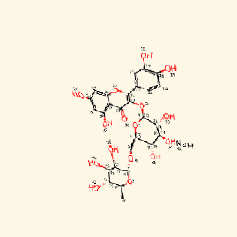 C[C@@H]1O[C@@H](OC[C@H]2O[C@@H](Oc3c(-c4ccc(O)c(O)c4)oc4cc(O)cc(O)c4c3=O)[C@H](O)[C@@H](O)[C@@H]2O)[C@H](O)[C@H](O)[C@H]1O.[NaH]